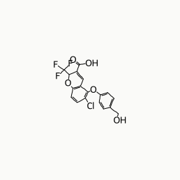 O=C(O)C1=Cc2c(ccc(Cl)c2Oc2ccc(CO)cc2)OC1C(F)(F)F